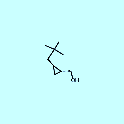 CC(C)(C)C[C@@H]1C[C@H]1CO